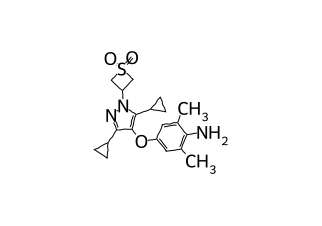 Cc1cc(Oc2c(C3CC3)nn(C3CS(=O)(=O)C3)c2C2CC2)cc(C)c1N